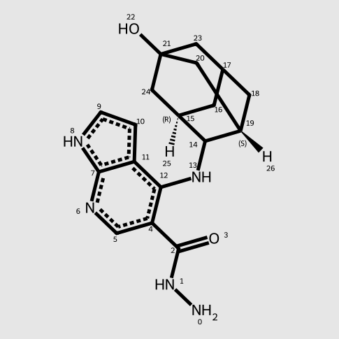 NNC(=O)c1cnc2[nH]ccc2c1NC1[C@@H]2CC3C[C@H]1CC(O)(C3)C2